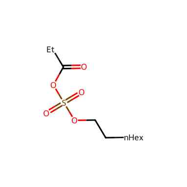 CCCCCCCCOS(=O)(=O)OC(=O)CC